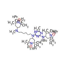 CCCCN(c1nc(C)nc(N(CCCCCCN(C)C2CC(C)(C)N(OCCC)C(C)(C)C2)C2CC(C)(C)N(OCCC)C(C)(C)C2)n1)C1CC(C)(C)N(OCCC)C(C)(C)C1